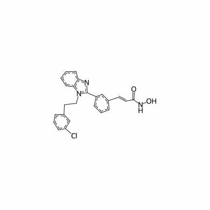 O=C(/C=C/c1cccc(-c2nc3ccccc3n2CCc2cccc(Cl)c2)c1)NO